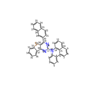 c1ccc2c(c1)-c1cccc3cccc(c13)N2c1nc(-c2ccc3ccccc3c2)c2sc3ccccc3c2n1